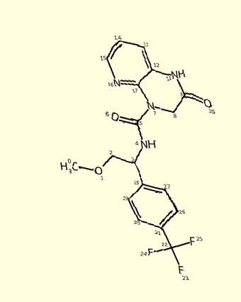 COCC(NC(=O)N1CC(=O)Nc2cccnc21)c1ccc(C(F)(F)F)cc1